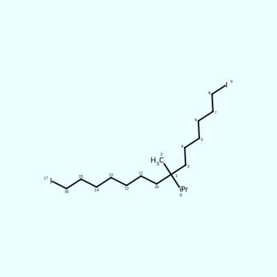 CC(C)C(C)(CCCCCCI)CCCCCCCI